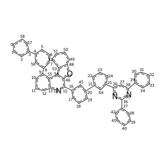 c1ccc(-c2cccc(-c3cccc4nc(-c5cccc(-c6cccc(-c7cc(-c8ccccc8)nc(-c8ccccc8)n7)c6)c5)c5oc6ccccc6c5c34)c2)cc1